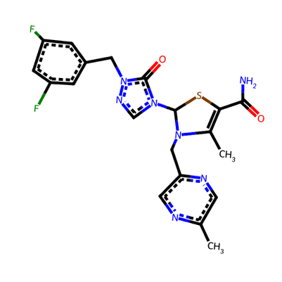 CC1=C(C(N)=O)SC(n2cnn(Cc3cc(F)cc(F)c3)c2=O)N1Cc1cnc(C)cn1